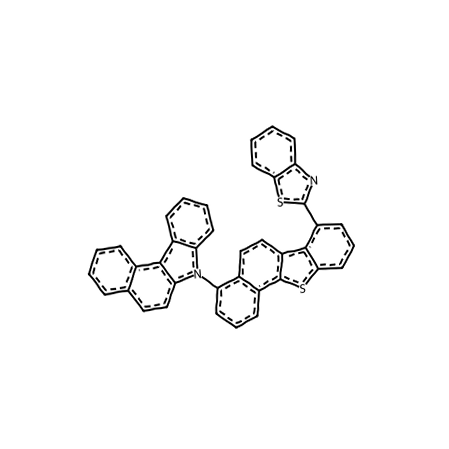 c1ccc2c(c1)ccc1c2c2ccccc2n1-c1cccc2c1ccc1c2sc2cccc(-c3nc4ccccc4s3)c21